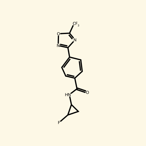 O=C(NC1CC1F)c1ccc(-c2noc(C(F)(F)F)n2)cc1